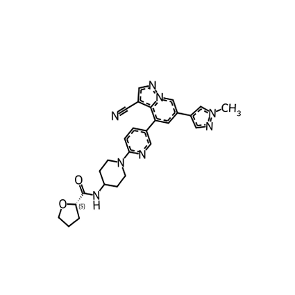 Cn1cc(-c2cc(-c3ccc(N4CCC(NC(=O)[C@@H]5CCCO5)CC4)nc3)c3c(C#N)cnn3c2)cn1